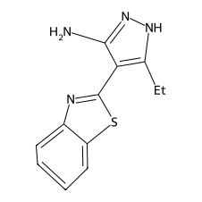 CCc1[nH]nc(N)c1-c1nc2ccccc2s1